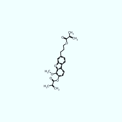 C=C(C)C(=O)OCCCc1ccc2c(c1)oc1c(OC)c(OC(=O)C(=C)C)ccc12